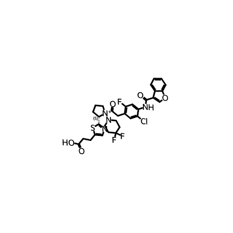 O=C(O)CCc1cnc([C@@H]2CCC[N+]2(C(=O)Cc2cc(Cl)c(NC(=O)c3coc4ccccc34)cc2F)N2CCC(F)(F)CC2)s1